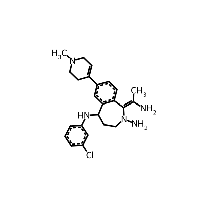 C/C(N)=C1\c2ccc(C3=CCN(C)CC3)cc2C(Nc2cccc(Cl)c2)CCN1N